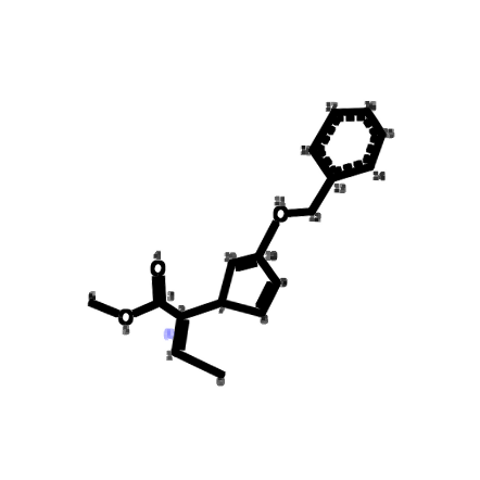 C/C=C(/C(=O)OC)C1C=CC(OCc2ccccc2)=C1